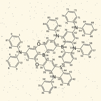 c1ccc(N(c2ccccc2)c2cc3c4c(c2)Oc2cc5c(cc2B4c2cc4c(cc2O3)N(c2ccccc2)c2ccccc2S4)B2c3ccccc3N(c3ccccc3)c3cc(N(c4ccccc4)c4ccccc4)cc(c32)N5c2ccccc2)cc1